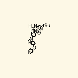 CC(C)(C)c1cc(N)n(C(=O)Nc2ccc(-n3cnc4cc(Oc5ccncc5)ccc43)cc2)n1